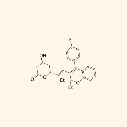 CCC1(CC)Oc2ccccc2C(c2ccc(F)cc2)=C1C=C[C@H]1C[C@H](O)CC(=O)O1